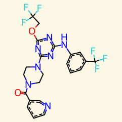 O=C(c1cccnc1)N1CCN(c2nc(Nc3cccc(C(F)(F)F)c3)nc(OCC(F)(F)F)n2)CC1